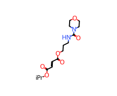 CC(C)OC(=O)/C=C/C(=O)OCCCNC(=O)N1CCOCC1